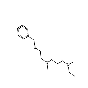 CCN(C)CCCN(C)CCSCc1ccccc1